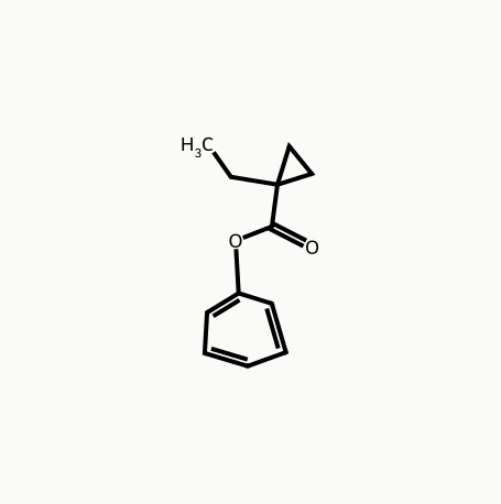 CCC1(C(=O)Oc2ccccc2)CC1